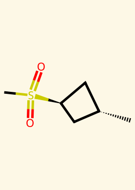 CS(=O)(=O)[C@H]1C[C@H](C)C1